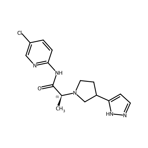 C[C@@H](C(=O)Nc1ccc(Cl)cn1)N1CCC(c2ccn[nH]2)C1